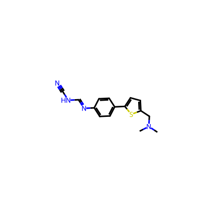 CN(C)Cc1ccc(-c2ccc(N=CNC#N)cc2)s1